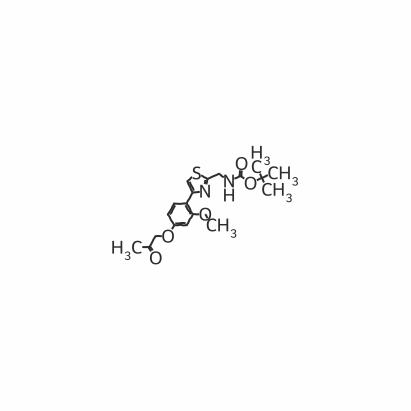 COc1cc(OCC(C)=O)ccc1-c1csc(CNC(=O)OC(C)(C)C)n1